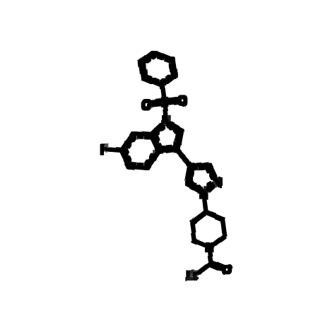 CCC(=O)N1CCC(n2cc(-c3cn(S(=O)(=O)c4ccccc4)c4cc(F)ccc34)cn2)CC1